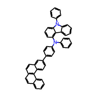 c1ccc(N(c2ccc(-c3ccc4c(ccc5ccc6ccccc6c54)c3)cc2)c2cccc3c2c2ccccc2n3-c2ccccc2)cc1